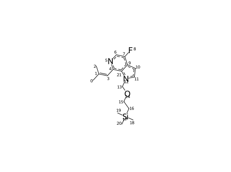 CC(C)=Cc1ncc(F)c2ccn(COCC[Si](C)(C)C)c12